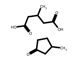 CC(CC(=O)O)CC(=O)O.CC1CCC(=O)C1